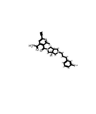 C#Cc1cc(C(N)=O)c(C(=O)N2CC3CN(CC[CH]c4cccc(F)c4)C[C@H]3C2)c(C)n1